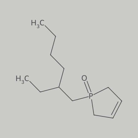 CCCCC(CC)CP1(=O)CC=CC1